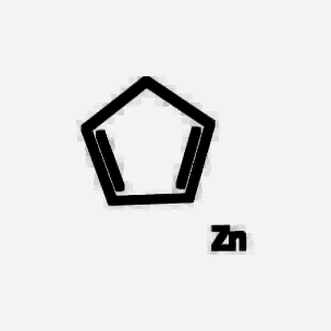 C1=CCC=C1.[Zn]